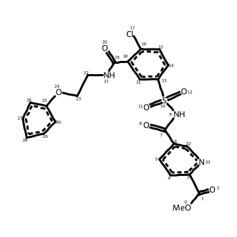 COC(=O)c1ccc(C(=O)NS(=O)(=O)c2ccc(Cl)c(C(=O)NCCOc3ccccc3)c2)cn1